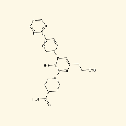 NC(=O)C1CCN(C2=NC(CCC=O)=CN(c3ccc(-c4ncccn4)cc3)C2O)CC1